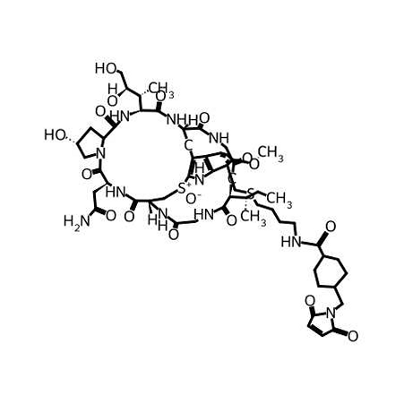 CC[C@H](C)[C@@H]1CC(=O)CNC(=O)[C@@H]2Cc3c([nH]c4c(CSCCCCNC(=O)C5CCC(CN6C(=O)C=CC6=O)CC5)c(OC)ccc34)[S+]([O-])C[C@H](NC(=O)CNC1=O)C(=O)N[C@@H](CC(N)=O)C(=O)N1C[C@H](O)CC1C(=O)N[C@@H]([C@@H](C)[C@@H](O)CO)C(=O)N2